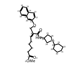 COC(=O)CCCCC=C(COc1ccc2ccccc2c1)C(=O)NC1CCN(C2CCCCC2)C1